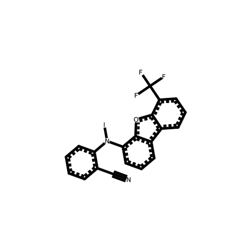 N#Cc1ccccc1N(I)c1cccc2c1oc1c(C(F)(F)F)cccc12